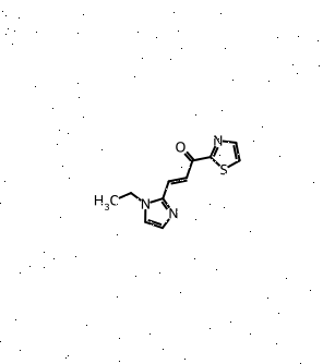 CCn1ccnc1/C=C/C(=O)c1nccs1